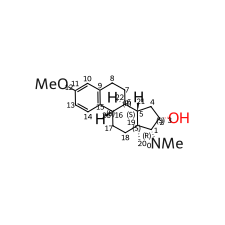 CN[C@H]1[C@@H](O)C[C@H]2[C@@H]3CCc4cc(OC)ccc4[C@H]3CC[C@@]21C